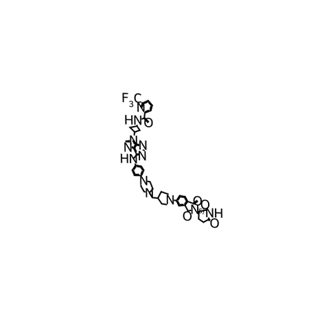 O=C1CC[C@H](N2C(=O)c3ccc(N4CCC(CN5CCN(c6ccc(Nc7ncnc8c7ncn8C7CC(NC(=O)c8cccc(C(F)(F)F)n8)C7)cc6)CC5)CC4)cc3C2=O)C(=O)N1